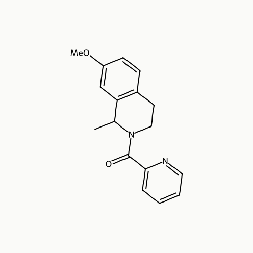 COc1ccc2c(c1)C(C)N(C(=O)c1ccccn1)CC2